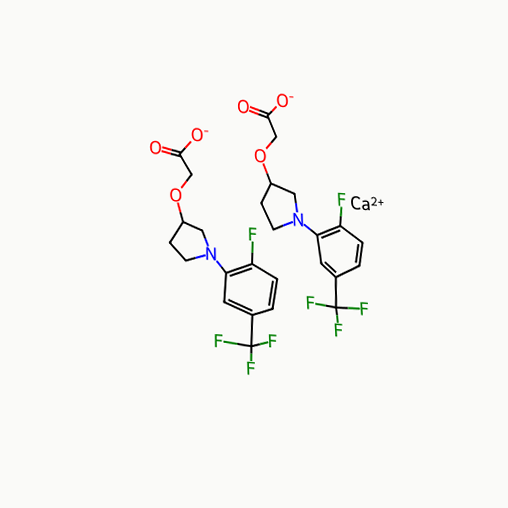 O=C([O-])COC1CCN(c2cc(C(F)(F)F)ccc2F)C1.O=C([O-])COC1CCN(c2cc(C(F)(F)F)ccc2F)C1.[Ca+2]